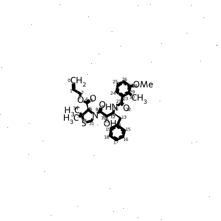 C=CCOC(=O)[C@H]1N(C(=O)[C@@H](O)[C@H](Cc2ccccc2)NC(=O)c2cccc(OC)c2C)CSC1(C)C